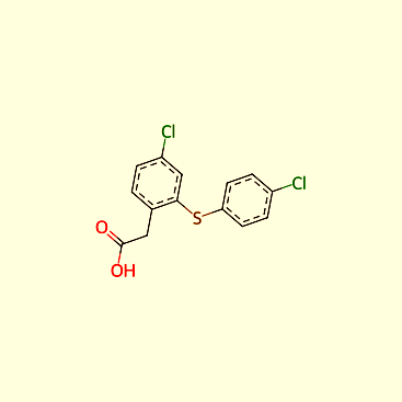 O=C(O)Cc1ccc(Cl)cc1Sc1ccc(Cl)cc1